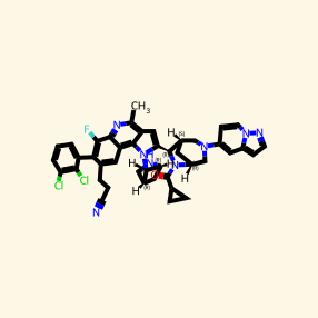 Cc1nc2c(F)c(-c3cccc(Cl)c3Cl)c(CCC#N)cc2c2c1cc([C@H]1[C@H]3C[C@H](CN(c4ccn5nccc5c4)C3)N1C(=O)C1CC1)n2[C@H]1[C@H]2CN[C@@H]1C2